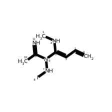 C=C/C=C(\NC)N(NI)C(C)=N